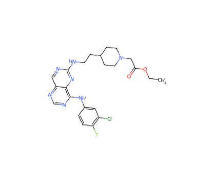 CCOC(=O)CN1CCC(CCNc2ncc3ncnc(Nc4ccc(F)c(Cl)c4)c3n2)CC1